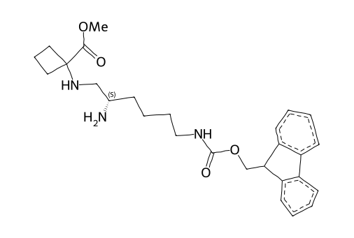 COC(=O)C1(NC[C@@H](N)CCCCNC(=O)OCC2c3ccccc3-c3ccccc32)CCC1